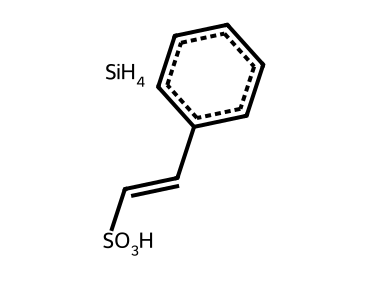 O=S(=O)(O)C=Cc1ccccc1.[SiH4]